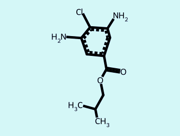 CC(C)COC(=O)c1cc(N)c(Cl)c(N)c1